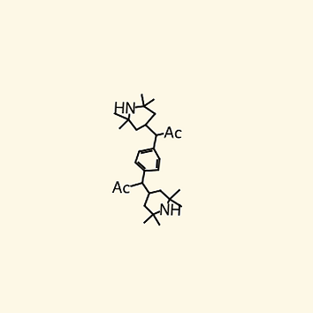 CC(=O)C(c1ccc(C(C(C)=O)C2CC(C)(C)NC(C)(C)C2)cc1)C1CC(C)(C)NC(C)(C)C1